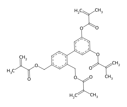 C=C(C)C(=O)OCc1ccc(-c2cc(OC(=O)C(=C)C)cc(OC(=O)C(=C)C)c2)c(COC(=O)C(=C)C)c1